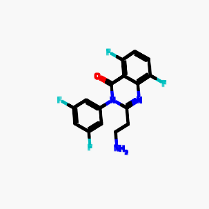 NCCc1nc2c(F)ccc(F)c2c(=O)n1-c1cc(F)cc(F)c1